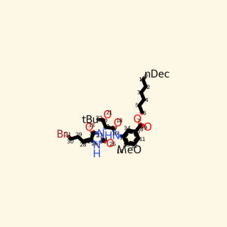 CCCCCCCCCCCCCCCCOC(=O)c1ccc(OC)c(NC(=O)C(C(=O)C(C)(C)C)N2C(=O)NC(=CCCBr)C2=O)c1